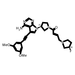 COc1cc(C#Cc2cn([C@H]3CCN(C(=O)C=CCN4CC[C@@H](F)C4)C3)c3ncnc(N)c23)cc(OC)c1